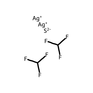 FC(F)F.FC(F)F.[Ag+].[Ag+].[S-2]